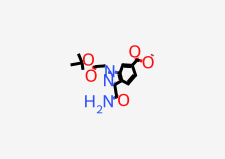 COC(=O)c1ccc2c(C(N)=O)nn(CC(=O)OC(C)(C)C)c2c1